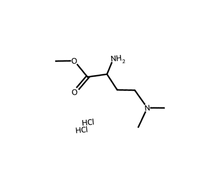 COC(=O)C(N)CCN(C)C.Cl.Cl